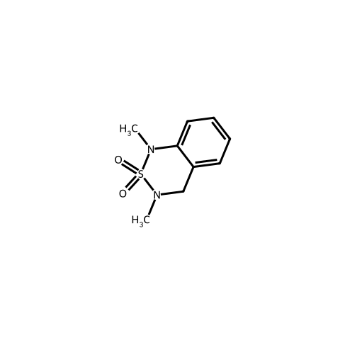 CN1Cc2ccccc2N(C)S1(=O)=O